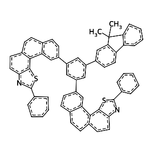 CC1(C)c2ccccc2-c2ccc(-c3cc(-c4ccc5ccc6ccc7nc(-c8ccccc8)sc7c6c5c4)cc(-c4ccc5ccc6ccc7nc(-c8ccccc8)sc7c6c5c4)c3)cc21